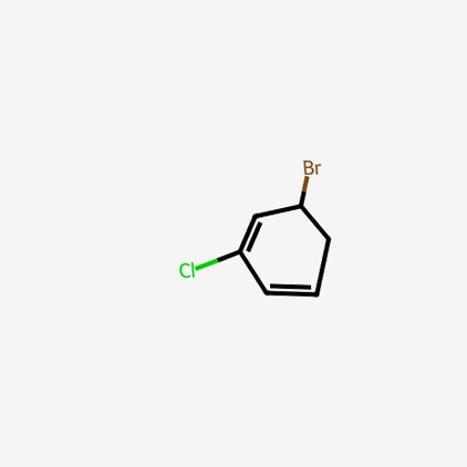 ClC1=CC(Br)CC=C1